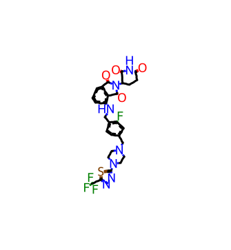 O=C1CCC(N2C(=O)c3cccc(NCc4ccc(CN5CCN(c6nnc(C(F)(F)F)s6)CC5)cc4F)c3C2=O)C(=O)N1